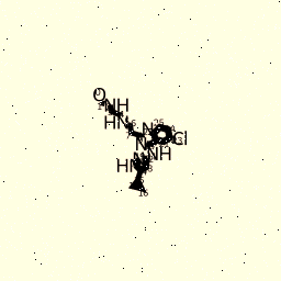 O=CNCCNCCc1nc(Nc2cc(C3CC3)[nH]n2)c2cc(Cl)ccc2n1